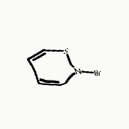 BrN1C=CC=CS1